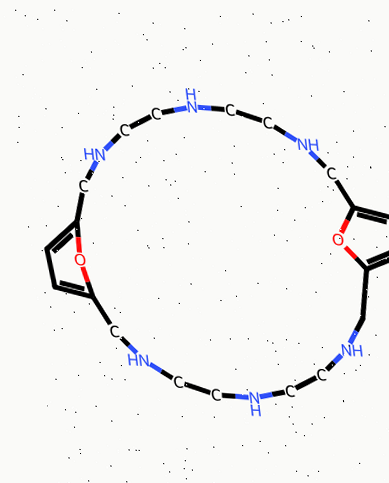 c1cc2oc1CNCCNCCNCc1ccc(o1)CNCCNCCNC2